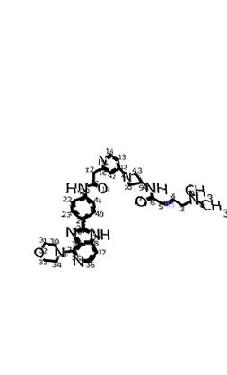 CN(C)C/C=C/C(=O)NC1CN(c2ccnc(CC(=O)Nc3ccc(-c4nc5c(N6CCOCC6)nccc5[nH]4)cc3)c2)C1